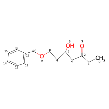 CCC(=O)CC(O)CCOCc1ccccc1